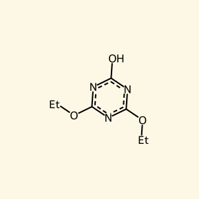 CCOc1nc(O)nc(OCC)n1